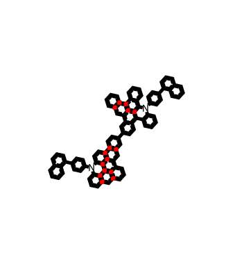 c1ccc(-c2cc(-c3ccc(-c4ccc5c(-c6ccccc6N(c6ccc(-c7cccc8ccccc78)cc6)c6ccc(-c7ccccc7)c7ccccc67)cc6ccccc6c5c4)cc3)ccc2N(c2ccc(-c3cccc4ccccc34)cc2)c2ccccc2-c2cc3ccccc3c3ccccc23)cc1